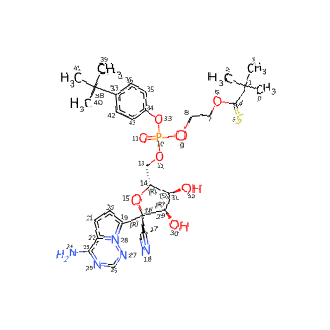 CC(C)(C)C(=S)OCCOP(=O)(OC[C@H]1O[C@@](C#N)(c2ccc3c(N)ncnn23)[C@H](O)[C@@H]1O)Oc1ccc(C(C)(C)C)cc1